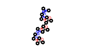 c1ccc(-n2c3ccccc3n3c4ccc5c6ccccc6n(-c6ccc7c8c6Oc6cc(-c9ccc%10c%11c9Oc9ccccc9B%11c9cccc(-n%11c%12ccccc%12n%12c%13ccc%14c%15ccccc%15n(-c%15ccc%16c%17c%15Oc%15ccccc%15B%17c%15ccccc%15O%16)c%14c%13nc%11%12)c9O%10)ccc6B8c6ccccc6O7)c5c4nc23)cc1